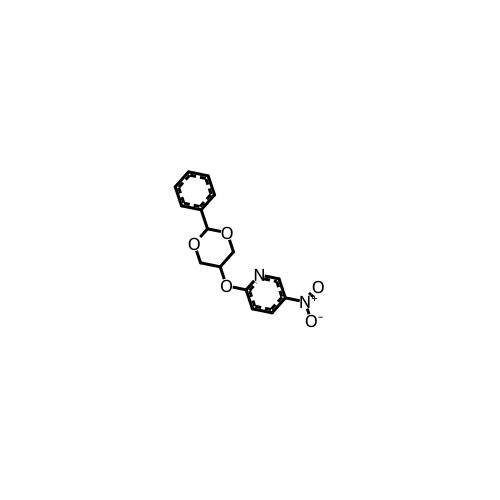 O=[N+]([O-])c1ccc(OC2COC(c3ccccc3)OC2)nc1